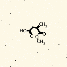 C=C(CC(=O)O)C(=O)OC